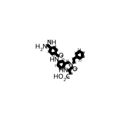 N=C(N)c1ccc(C(=O)Nc2ccc3c(c2)CN(CCc2ccccc2)C(=O)C(CC(=O)O)N3)cc1